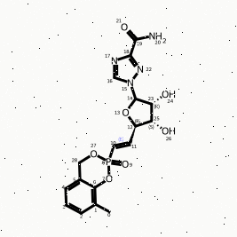 Cc1cccc2c1OP(=O)(/C=C/[C@H]1OC(n3cnc(C(N)=O)n3)[C@H](O)[C@@H]1O)OC2